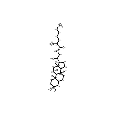 C[C@@]1(O)CC[C@@]2(C)C(CC[C@@H]3C2CC[C@]2(C)[C@@H](C(=O)CO[PH](=O)C(N)CCCCN)CC[C@@H]32)C1